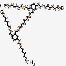 CSCCCCCCSCCC1CCC(CCSCCCCCCSC)C(CCSCCCCCCSCCC2CC(CCSCCCCCCSC)CCC2CCSCCCCCCSC)C1